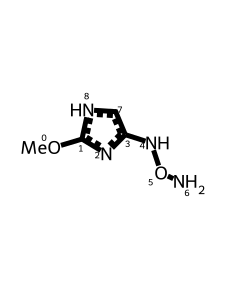 COc1nc(NON)c[nH]1